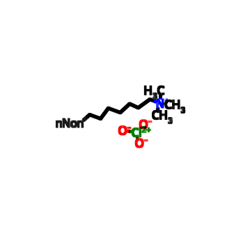 CCCCCCCCCCCCCCCC[N+](C)(C)C.[O-][Cl+2]([O-])[O-]